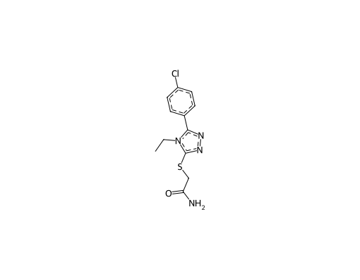 CCn1c(SCC(N)=O)nnc1-c1ccc(Cl)cc1